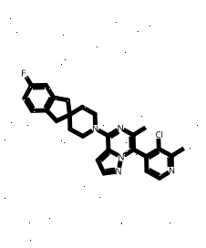 Cc1nccc(-c2c(C)nc(N3CCC4(CC3)Cc3ccc(F)cc3C4)c3ccnn23)c1Cl